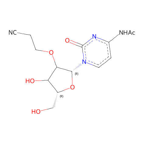 CC(=O)Nc1ccn([C@@H]2O[C@H](CO)C(O)C2OCCC#N)c(=O)n1